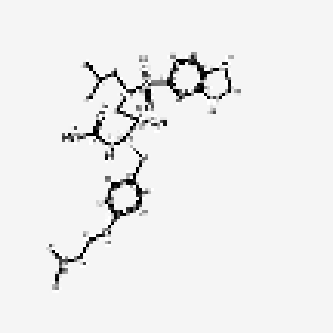 CC(C)CN(C[C@@H](O)[C@H](Cc1ccc(OCCN(C)C)cc1)NC(=O)O)S(=O)(=O)c1ccc2c(c1)OCO2